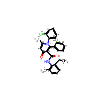 CCc1cccc(C)c1NC(=O)c1c(-c2ccccc2Cl)n(-c2ccccc2Cl)c(C)cc1=O